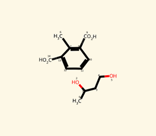 CC(O)CCO.Cc1c(C(=O)O)cccc1C(=O)O